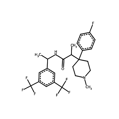 CC(NC(=O)C(C)C1(c2ccc(F)cc2)CCN(C)CC1)c1cc(C(F)(F)F)cc(C(F)(F)F)c1